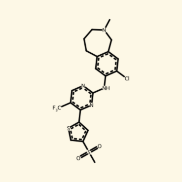 CN1CCCc2cc(Nc3ncc(C(F)(F)F)c(-c4cc(S(C)(=O)=O)cs4)n3)c(Cl)cc2C1